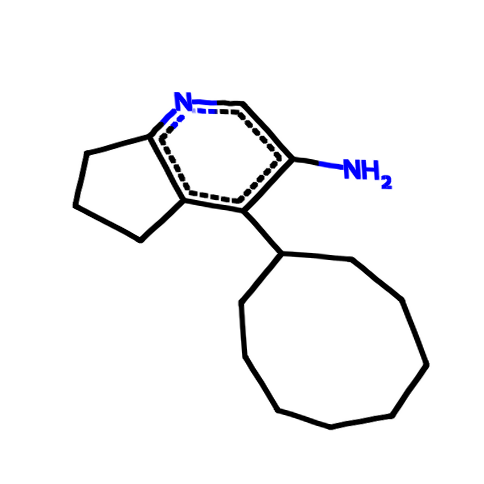 Nc1cnc2c(c1C1CCCCCCCC1)CCC2